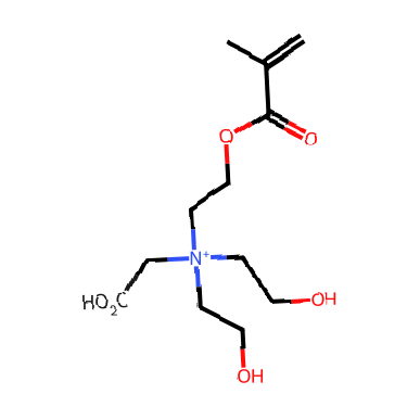 C=C(C)C(=O)OCC[N+](CCO)(CCO)CC(=O)O